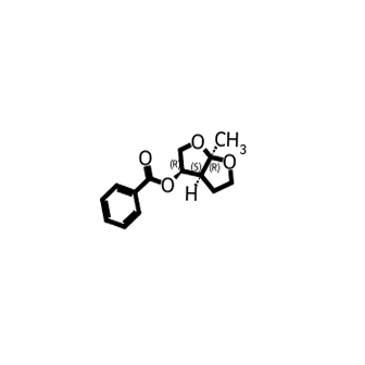 C[C@]12OCC[C@H]1[C@@H](OC(=O)c1ccccc1)CO2